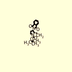 C=C[C@@H]1[C@H](N2C(=O)c3ccccc3C2=O)CCN1C(=O)OC(C)(C)C